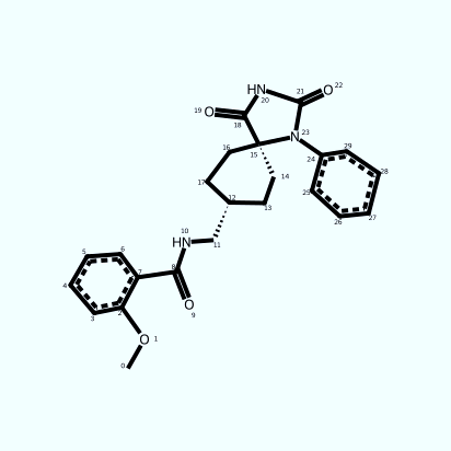 COc1ccccc1C(=O)NC[C@H]1CC[C@]2(CC1)C(=O)NC(=O)N2c1ccccc1